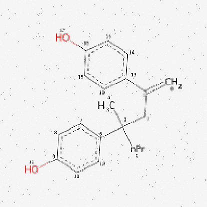 C=C(CC(C)(CCC)c1ccc(O)cc1)c1ccc(O)cc1